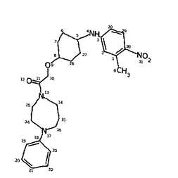 Cc1cc(NC2CCC(OCC(=O)N3CCCN(c4ccccc4)CC3)CC2)ccc1[N+](=O)[O-]